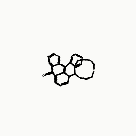 O=C1C2=CC=CC(C3C[CH]CCCCCCC3)C2=C(c2ccccc2)c2ccccc21